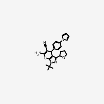 CC(C)(C)n1nc(C2CCCO2)c2c1OC(N)=C(C#N)C2c1ccc(-n2cccc2)cc1